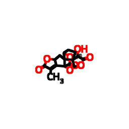 CC1=C2C(CC34C5CCC36C(OC(=O)[C@@H]6O)OC24C(=O)O5)OC1=O